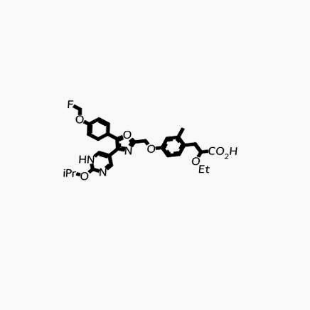 CCOC(Cc1ccc(OCc2nc(C3=CNC(OC(C)C)N=C3)c(C3C=CC(OCF)=CC3)o2)cc1C)C(=O)O